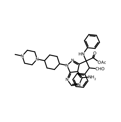 CC(=O)OC(=O)C(Nc1ccccc1)(c1nn(C2CCC(N3CCN(C)CC3)CC2)c2ncnc(N)c12)C(C=O)c1ccccc1